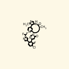 C[C@@H]1CCC[C@H](n2cnc(-c3c(-c4cnn(C(F)F)c4)ccc(Cl)c3F)cc2=O)c2cc(ccn2)-c2c(cnn2C)NC1=O